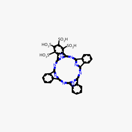 O=S(=O)(O)c1c(S(=O)(=O)O)c(S(=O)(=O)O)c2c3nc4nc(nc5[nH]c(nc6nc(nc([nH]3)c2c1S(=O)(=O)O)-c1ccccc1-6)c1ccccc51)-c1ccccc1-4